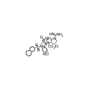 CCOC(=O)[C@@](C)(C1CCCN(C(=N)N)C1)N(c1ccccc1)C(CNS(=O)(=O)c1ccc2ccccc2c1)C(N)=O.Cl